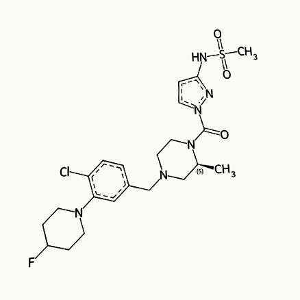 C[C@H]1CN(Cc2ccc(Cl)c(N3CCC(F)CC3)c2)CCN1C(=O)n1ccc(NS(C)(=O)=O)n1